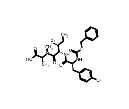 CC[C@H](C)[C@H](NC(=O)[C@H](Cc1ccc(O)cc1)NC(=O)OCc1ccccc1)C(=O)N(C)[C@@H](C)C(=O)O